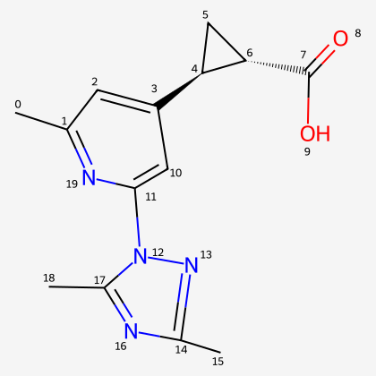 Cc1cc([C@H]2C[C@@H]2C(=O)O)cc(-n2nc(C)nc2C)n1